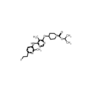 Cc1nc(CCF)ccc1Nc1ncnc(OC2CCN(C(=O)OC(C)C)CC2)c1C